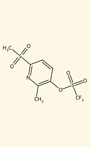 Cc1nc(S(C)(=O)=O)ccc1OS(=O)(=O)C(F)(F)F